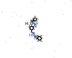 CN1/C(=N\c2cccc(CCNc3nc4ccccc4s3)c2)SC2CCC[C@H]21